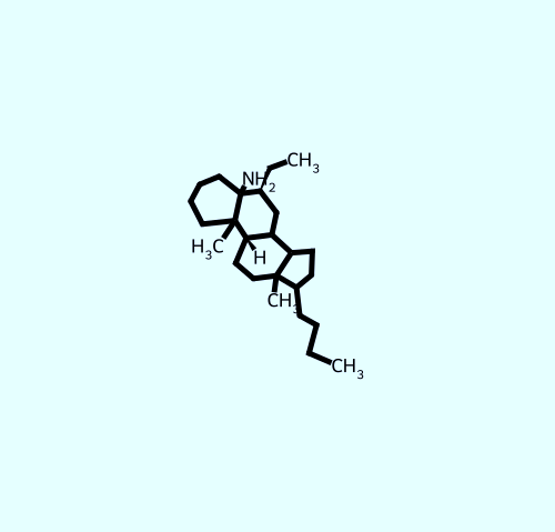 CCCCC1CCC2C3C[C@H](CC)C4(N)CCCCC4(C)[C@H]3CCC12C